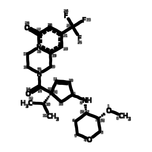 CO[C@@H]1COCC[C@@H]1NC1C=C[C@@](C(=O)N2CCn3c(cc(C(F)(F)F)cc3=O)C2)(C(C)C)C1